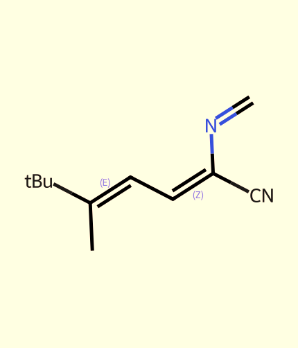 C=N/C(C#N)=C\C=C(/C)C(C)(C)C